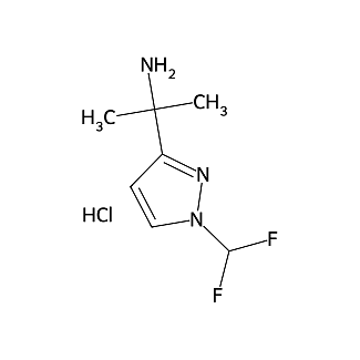 CC(C)(N)c1ccn(C(F)F)n1.Cl